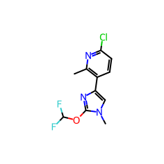 Cc1nc(Cl)ccc1-c1cn(C)c(OC(F)F)n1